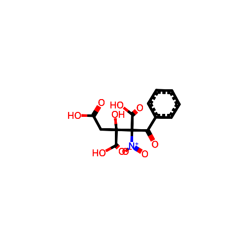 O=C(O)CC(O)(C(=O)O)C(C(=O)O)(C(=O)c1ccccc1)[N+](=O)[O-]